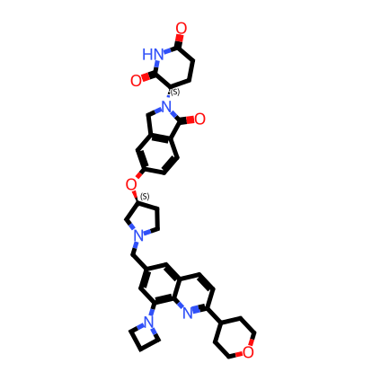 O=C1CC[C@H](N2Cc3cc(O[C@H]4CCN(Cc5cc(N6CCC6)c6nc(C7CCOCC7)ccc6c5)C4)ccc3C2=O)C(=O)N1